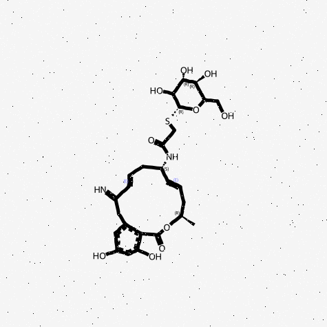 C[C@@H]1C/C=C/[C@@H](NC(=O)CS[C@H]2OC(CO)[C@H](O)[C@@H](O)C2O)C/C=C/C(=N)Cc2cc(O)cc(O)c2C(=O)O1